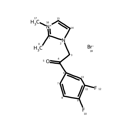 Cc1n(CC(=O)c2ccc(F)c(F)c2)cc[n+]1C.[Br-]